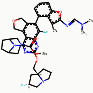 CN(C)/C=N/c1oc2cccc(-c3c4c(c5c(N6C7CCC6CN(C(=O)OC(C)(C)C)C7)nc(OC[C@@]67CCCN6C[C@H](F)C7)nc5c3F)COC4)c2c1C#N